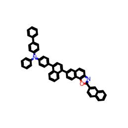 c1ccc(-c2ccc(N(c3ccccc3)c3ccc(-c4ccc(-c5ccc6c(ccc7nc(-c8ccc9ccccc9c8)oc76)c5)c5ccccc45)cc3)cc2)cc1